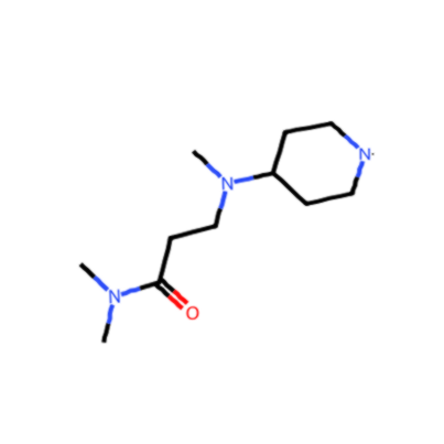 CN(C)C(=O)CCN(C)C1CC[N]CC1